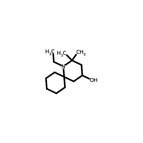 CCN1C(C)(C)CC(O)CC12CCCCC2